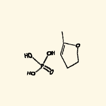 CC1=CCCO1.O=P(O)(O)O